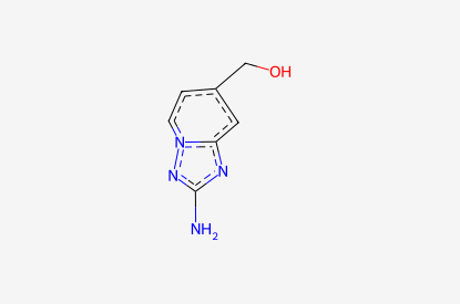 Nc1nc2cc(CO)ccn2n1